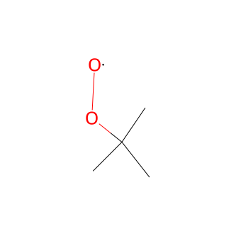 CC(C)(C)O[O]